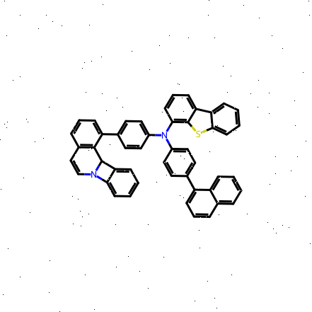 C1=CN2c3ccccc3C2c2c1cccc2-c1ccc(N(c2ccc(-c3cccc4ccccc34)cc2)c2cccc3c2sc2ccccc23)cc1